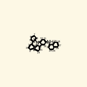 c1ccc(-c2ccccc2-n2c3ccccc3c3cc(Nc4cccc5ccccc45)ccc32)cc1